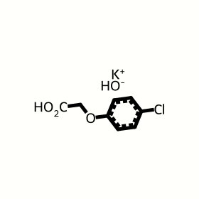 O=C(O)COc1ccc(Cl)cc1.[K+].[OH-]